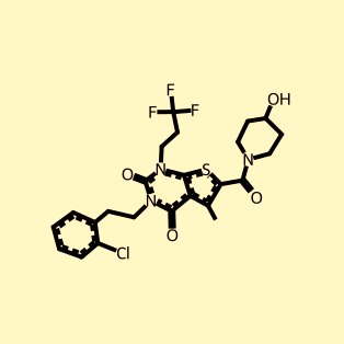 Cc1c(C(=O)N2CCC(O)CC2)sc2c1c(=O)n(CCc1ccccc1Cl)c(=O)n2CCC(F)(F)F